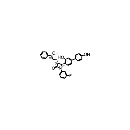 O=C1[C@H](CC[C@H](O)c2ccccc2)[C@@H](c2ccc(-c3ccc(O)cc3)cc2O)N1c1cccc(F)c1